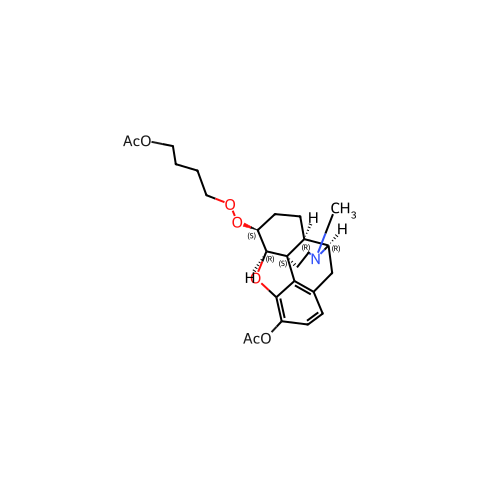 CC(=O)OCCCCOO[C@H]1CC[C@H]2[C@H]3Cc4ccc(OC(C)=O)c5c4[C@@]2(CCN3C)[C@H]1O5